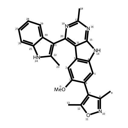 COc1cc2c(cc1-c1c(C)noc1C)[nH]c1nc(C)nc(-c3c(C)[nH]c4ccccc34)c12